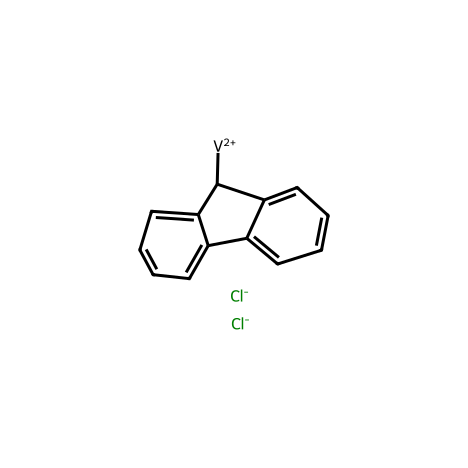 [Cl-].[Cl-].[V+2][CH]1c2ccccc2-c2ccccc21